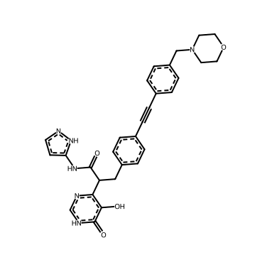 O=C(Nc1ccn[nH]1)C(Cc1ccc(C#Cc2ccc(CN3CCOCC3)cc2)cc1)c1nc[nH]c(=O)c1O